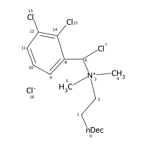 CCCCCCCCCCCC[N+](C)(C)C(Cl)c1cccc(Cl)c1Cl.[Cl-]